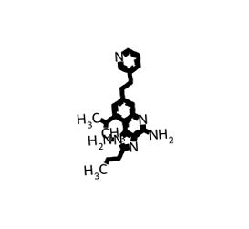 CCCc1nc2c(N)nc3cc(CCc4cccnc4)cc(C(C)C)c3c2n1N